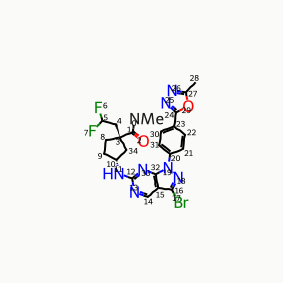 CNC(=O)[C@@]1(CC(F)F)CC[C@@H](Nc2ncc3c(Br)nn(-c4ccc(-c5nnc(C)o5)cc4)c3n2)C1